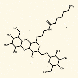 NCCCCCC(=O)NCCOC1OC(COC2OC(CO)C(O)C(O)C2O)C(O)C(OC2OC(CO)C(O)C(O)C2O)C1O